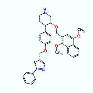 COc1cc(COC2CNCCC2c2ccc(OCc3cnc(-c4ccccc4)s3)cc2)c(OC)c2ccccc12